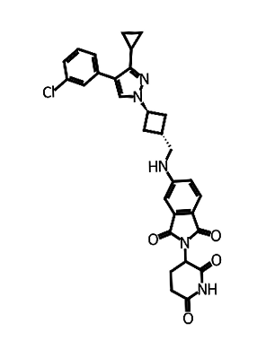 O=C1CCC(N2C(=O)c3ccc(NC[C@H]4C[C@H](n5cc(-c6cccc(Cl)c6)c(C6CC6)n5)C4)cc3C2=O)C(=O)N1